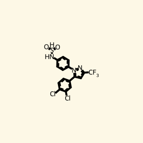 O=[SH](=O)Nc1ccc(-n2nc(C(F)(F)F)cc2-c2ccc(Cl)c(Cl)c2)cc1